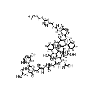 CCCCc1cn(CCCC[C@H](NC(=O)[C@H](Cc2ccccc2)NC(=O)[C@H](Cc2ccccc2)NC(=O)[C@H](CC(=O)O)NC(=O)[C@H](CC(=O)O)NC(=O)[C@H](CC(=O)O)NC(=O)CNC(=O)CNC(=O)CNC(=O)[C@H](CC(=O)O)NC(=O)[C@H](CC(=O)O)NC)C(N)=O)nn1